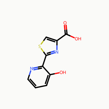 O=C(O)c1csc(-c2ncccc2O)n1